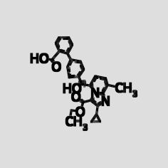 CCOC(=O)c1c(C2CC2)nc2c(C)ccc([C@H](O)c3ccc(-c4ccccc4C(=O)O)cc3)n12